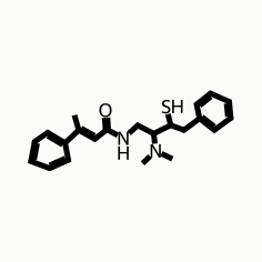 C/C(=C\C(=O)NCC(C(S)Cc1ccccc1)N(C)C)c1ccccc1